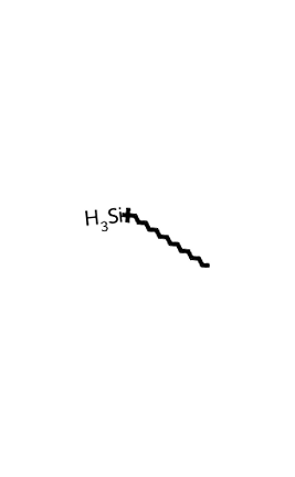 CCCCCCCCCCCCCCCC(C)(C)[SiH3]